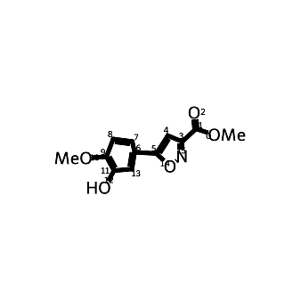 COC(=O)c1cc(-c2ccc(OC)c(O)c2)on1